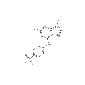 CS(=O)(=O)c1ccc(Nc2cc(Cl)nc3c(Br)cnn23)cc1